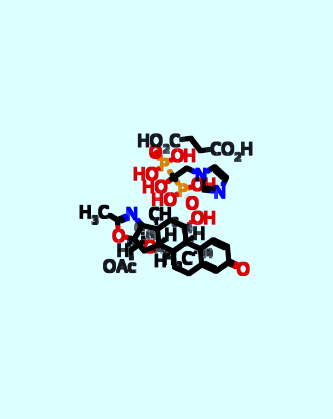 CC(=O)OCC(=O)[C@@]12N=C(C)O[C@@H]1C[C@H]1[C@@H]3CCC4=CC(=O)C=C[C@]4(C)[C@H]3[C@@H](O)C[C@@]12C.O=C(O)CCC(=O)O.O=P(O)(O)C(O)(Cn1ccnc1)P(=O)(O)O